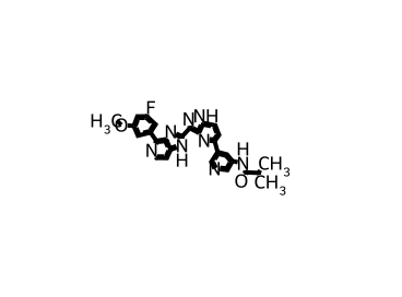 COc1cc(F)cc(-c2nccc3[nH]c(-c4n[nH]c5ccc(-c6cncc(NC(=O)C(C)C)c6)nc45)nc23)c1